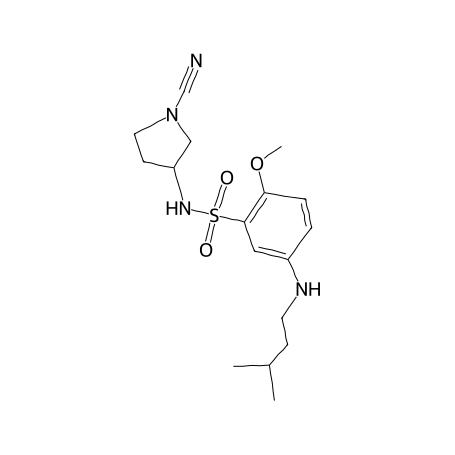 COc1ccc(NCCC(C)C)cc1S(=O)(=O)NC1CCN(C#N)C1